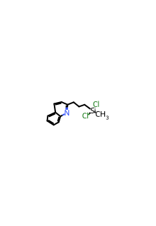 C[Si](Cl)(Cl)CCCc1ccc2ccccc2n1